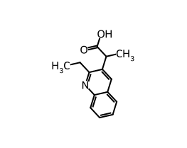 CCc1nc2ccccc2cc1C(C)C(=O)O